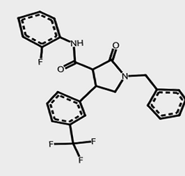 O=C(Nc1ccccc1F)C1C(=O)N(Cc2ccccc2)CC1c1cccc(C(F)(F)F)c1